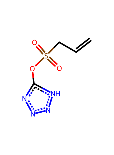 C=CCS(=O)(=O)Oc1nnn[nH]1